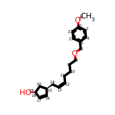 COc1ccc(COCCCC/C=C\C[C@H]2C=C[C@@H](O)C2)cc1